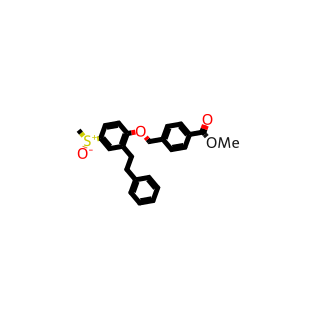 COC(=O)c1ccc(COc2ccc([S+](C)[O-])cc2CCc2ccccc2)cc1